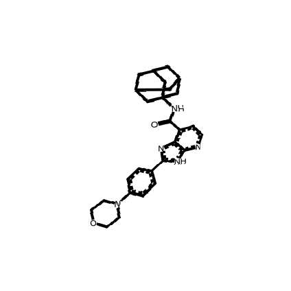 O=C(NC12CC3CC(CC(C3)C1)C2)c1ccnc2[nH]c(-c3ccc(N4CCOCC4)cc3)nc12